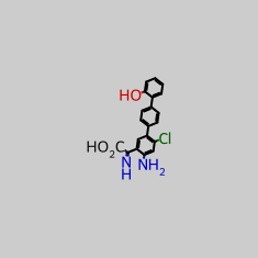 N=C(C(=O)O)c1cc(-c2ccc(-c3ccccc3O)cc2)c(Cl)cc1N